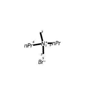 CCC[N+](C)(C)CCC.[Br-]